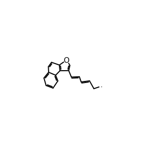 [CH2]CC=CC=Cc1coc2ccc3ccccc3c12